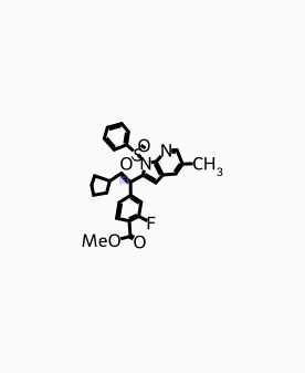 COC(=O)c1ccc(/C(=C\C2CCCC2)c2cc3cc(C)cnc3n2S(=O)(=O)c2ccccc2)cc1F